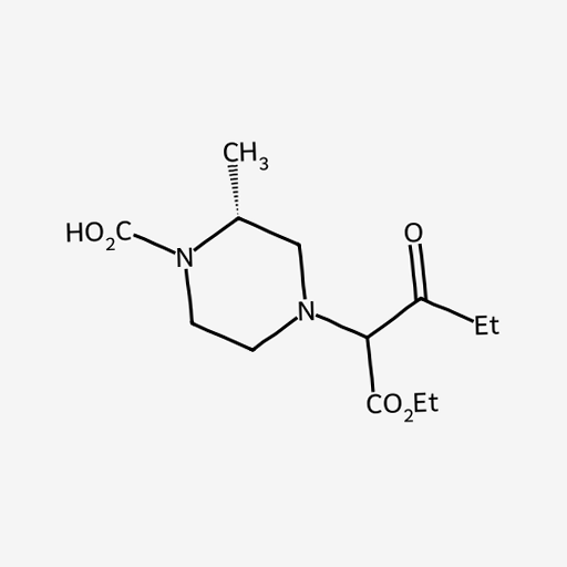 CCOC(=O)C(C(=O)CC)N1CCN(C(=O)O)[C@H](C)C1